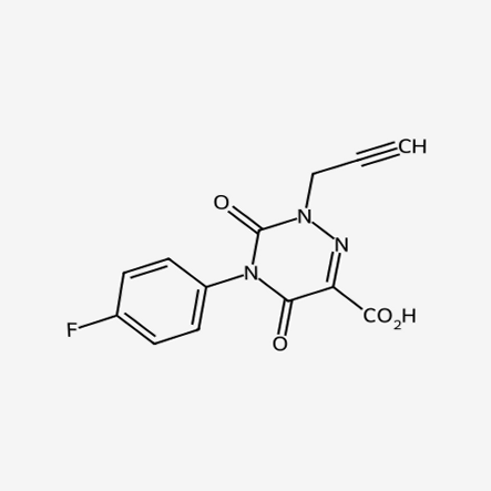 C#CCn1nc(C(=O)O)c(=O)n(-c2ccc(F)cc2)c1=O